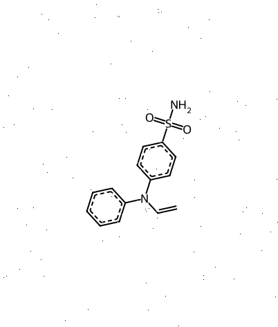 C=CN(c1ccccc1)c1ccc(S(N)(=O)=O)cc1